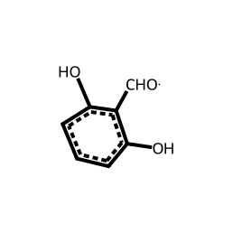 O=[C]c1c(O)cccc1O